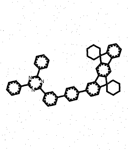 c1ccc(-c2nc(-c3ccccc3)nc(-c3cccc(-c4ccc(-c5ccc6c(c5)-c5cc7c(cc5C65CCCCC5)-c5ccccc5C75CCCCC5)cc4)c3)n2)cc1